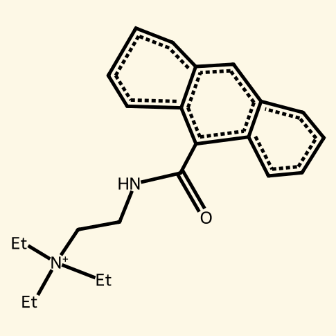 CC[N+](CC)(CC)CCNC(=O)c1c2ccccc2cc2ccccc12